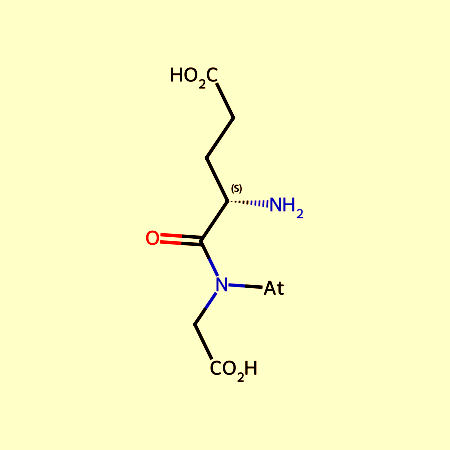 N[C@@H](CCC(=O)O)C(=O)N([At])CC(=O)O